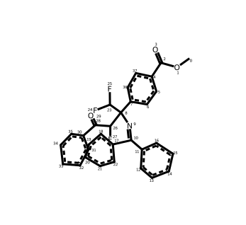 COC(=O)c1ccc(C(N=C(c2ccccc2)c2ccccc2)(C(F)F)C(F)C(=O)c2ccccc2)cc1